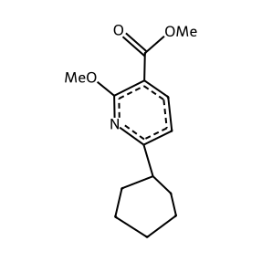 COC(=O)c1ccc(C2CCCCC2)nc1OC